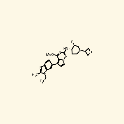 COc1nc(N[C@H]2CCN(C3COC3)C[C@@H]2F)nn2ccc(-c3ccc4nc(C)n(CC(F)(F)F)c4c3)c12